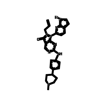 C=CCn1c(=O)c2cnc(Nc3ccc(C4CCN(C)CC4)cc3)nc2n1-c1ccc2ccn(CC)c2n1